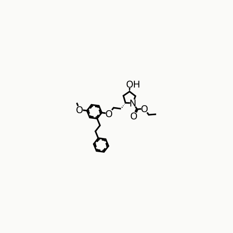 CCOC(=O)N1C[C@H](O)C[C@H]1CCOc1ccc(OC)cc1CCc1ccccc1